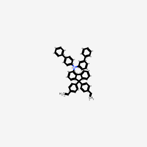 C=Cc1ccc(C2(c3ccc(C=C)cc3)c3ccccc3-c3c(N(c4ccc(-c5ccccc5)cc4)c4cccc(-c5ccccc5)c4)cccc32)cc1